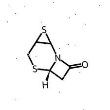 O=C1C[C@@H]2SCC3SC3N12